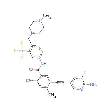 Cc1cc(Cl)c(C(=O)Nc2ccc(CN3CCN(C)CC3)c(C(F)(F)F)c2)cc1C#Cc1cnc(N)c(F)c1